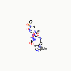 CCn1c(-c2cccnc2[C@H](C)OC)c2c3cc(ccc31)-c1csc(n1)C[C@H](NC(=O)[C@H](C(C)C)N(C)C(=O)[C@@H]1CCN(C(=O)[C@H]3[C@@H](C4CC4)N3[S@+]([O-])c3ccc(C)cc3)C1)C(=O)N1CCC[C@H](N1)C(=O)OCC(C)(C)C2